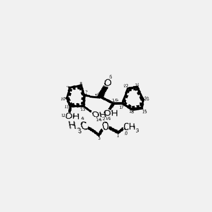 CCOCC.O=C(c1cccc(O)c1O)C(O)c1ccccc1